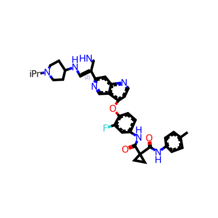 Cc1ccc(NC(=O)C2(C(=O)Nc3ccc(Oc4ccnc5cc(/C(C=N)=C/NC6CCN(C(C)C)CC6)ncc45)c(F)c3)CC2)cc1